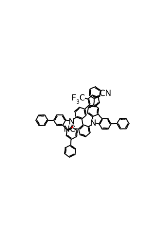 N#Cc1ccc(-c2ccc(-n3c4ccc(-c5ccccc5)cc4c4cc(-c5ccccc5)ccc43)c(-c3c(C#N)cccc3-n3c4ccc(-c5ccccc5)cc4c4cc(-c5ccccc5)ccc43)c2)c(C(F)(F)F)c1